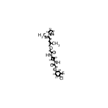 C=N/C(=C\C=C(/C)COCC(=O)NC12CC(NC(=O)COc3ccc(Cl)c(F)c3)(C1)C2)n1cccn1